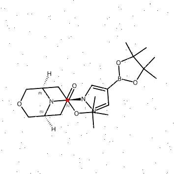 CC(C)(C)OC(=O)N1[C@@H]2COC[C@H]1C[C@@H](n1cc(B3OC(C)(C)C(C)(C)O3)cn1)C2